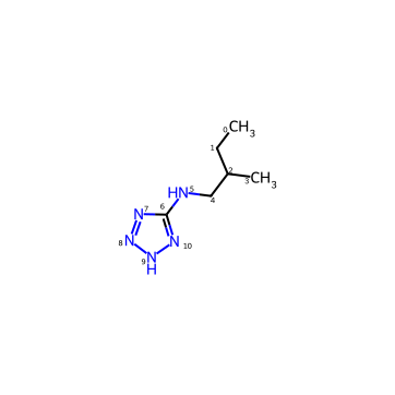 CCC(C)CNc1nn[nH]n1